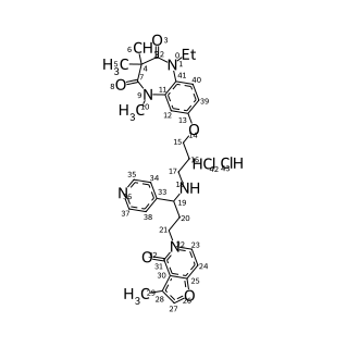 CCN1C(=O)C(C)(C)C(=O)N(C)c2cc(OCCCNC(CCn3ccc4occ(C)c4c3=O)c3ccncc3)ccc21.Cl.Cl